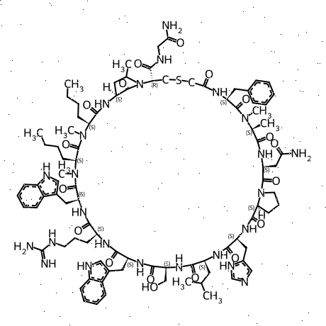 CCCC[C@H]1C(=O)N(C)[C@@H](CCCC)C(=O)N[C@H]2CC(C)N(C2=O)[C@H](C(=O)NCC(N)=O)CSCC(=O)N[C@@H](Cc2ccccc2)C(=O)N(C)[C@@H](C)C(=O)N[C@@H](CC(N)=O)C(=O)N2CCC[C@H]2C(=O)N[C@@H](Cc2cnc[nH]2)C(=O)N[C@@H](CC(C)C)C(=O)N[C@@H](CO)C(=O)N[C@@H](Cc2c[nH]c3ccccc23)C(=O)N[C@@H](CCCNC(=N)N)C(=O)N[C@@H](Cc2c[nH]c3ccccc23)C(=O)N1C